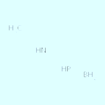 BPCNCC